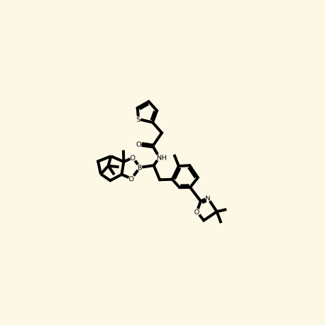 Cc1ccc(C2=NC(C)(C)CO2)cc1CC(NC(=O)Cc1cccs1)B1OC2CC3CC(C3(C)C)C2(C)O1